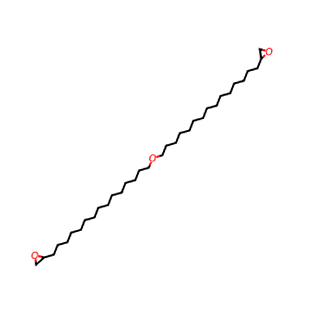 C(CCCCCCCOCCCCCCCCCCCCCCCC1CO1)CCCCCCCC1CO1